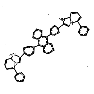 C1=CC2NC(c3ccc(-c4c5ccccc5c(-c5ccc(C6=CN7C(c8ccccc8)=CC=CC7N6)cc5)c5ccccc45)cc3)=CN2C(c2ccccc2)=C1